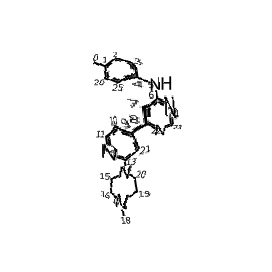 Cc1ccc(Nc2cc(-c3ccnc(N4CCN(C)CC4)c3)ncn2)cc1